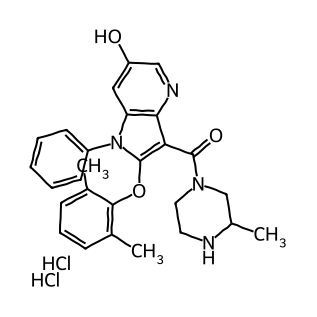 Cc1cccc(C)c1Oc1c(C(=O)N2CCNC(C)C2)c2ncc(O)cc2n1-c1ccccc1.Cl.Cl